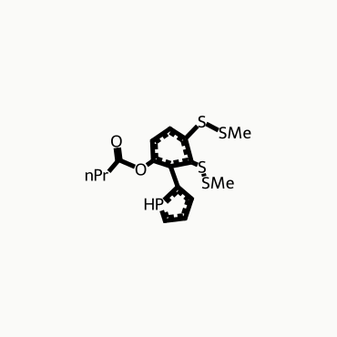 CCCC(=O)Oc1ccc(SSC)c(SSC)c1-c1ccc[pH]1